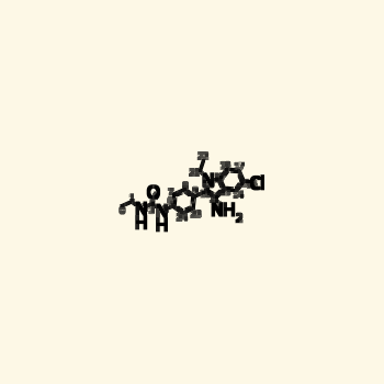 CCNC(=O)Nc1ccc(-c2c(N)c3cc(Cl)ccc3n2CC)cc1